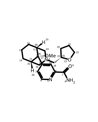 CO[C@@]1(c2ccnc(C(N)=O)c2)[C@@H]2CCC[C@H]1CN(C[C@@H]1CCCO1)C2